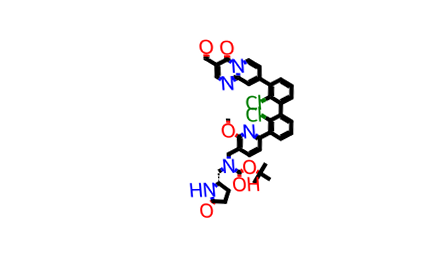 COc1nc(-c2cccc(-c3cccc(-c4ccn5c(=O)c(C=O)cnc5c4)c3Cl)c2Cl)ccc1CN(C[C@@H]1CCC(=O)N1)C(O)OC(C)(C)C